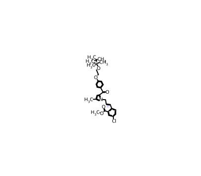 COC(=O)c1cc(Cl)ccc1/C=C/Cn1cc(C)cc1C(=O)c1ccc(OCCO[Si](C)(C)C(C)(C)C)cc1